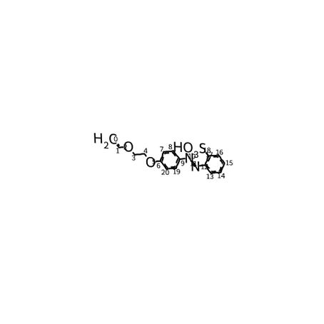 C=COCCOc1ccc(N=Nc2ccccc2S(=O)(=O)O)cc1